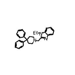 CCn1c(CN2CCC(c3ccccc3)(c3ccccc3)CC2)nc2ccccc21